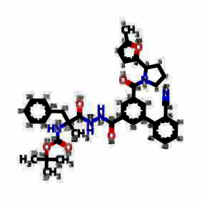 Cc1ccc(C2CCCN2C(=O)c2cc(C(=O)NNC(=O)[C@@](C)(Cc3ccccc3)NC(=O)OC(C)(C)C)cc(-c3ccccc3C#N)c2)o1